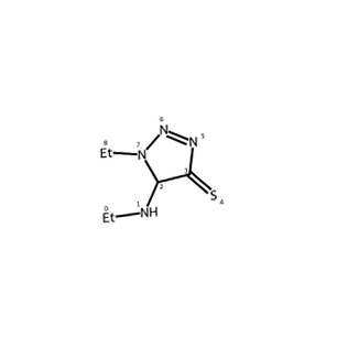 CCNC1C(=S)N=NN1CC